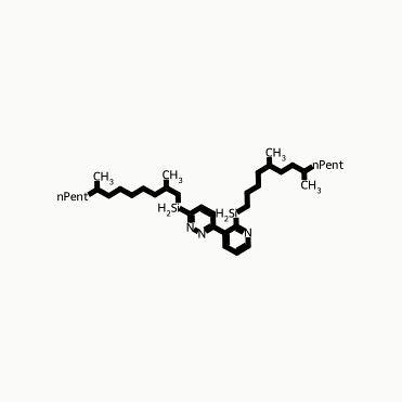 CCCCCC(C)CCCCCC(C)C[SiH2]c1ccc(-c2cccnc2[SiH2]CCCCC(C)CCC(C)CCCCC)nn1